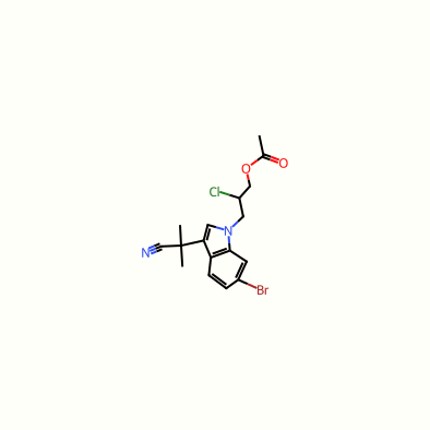 CC(=O)OCC(Cl)Cn1cc(C(C)(C)C#N)c2ccc(Br)cc21